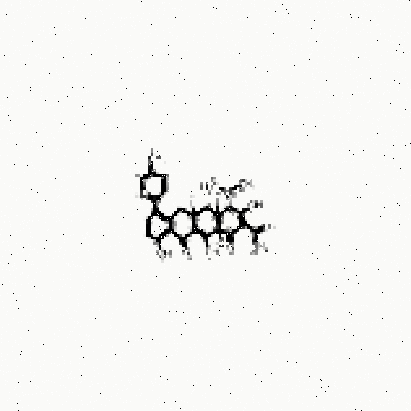 Cc1ccc(-c2ccc(O)c3c2C[C@@H]2C[C@@H]4[C@@H](N(C)C)C(O)=C(C(N)=O)C(=O)[C@]4(O)C(O)=C2C3=O)nc1